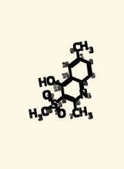 Cc1ccc2nc(C)c(S(C)(=O)=O)c(O)c2c1